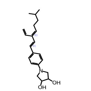 C=CC(/C=C/c1ccc(N2CC(O)C(O)C2)cc1)=C\CCC(C)C